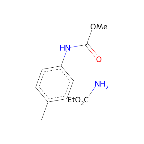 CCOC(N)=O.COC(=O)Nc1ccc(C)cc1